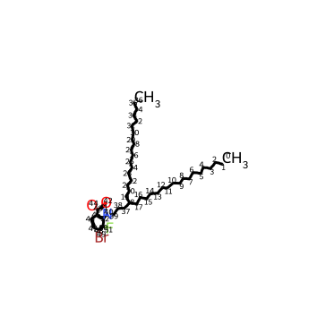 CCCCCCCCCCCCCCCCCCC(CCCCCCCCCCCCCCCCCC)CCCN1C(=O)C(=O)c2ccc(Br)c(F)c21